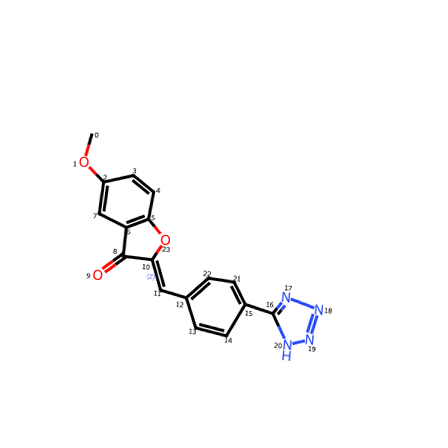 COc1ccc2c(c1)C(=O)/C(=C/c1ccc(-c3nnn[nH]3)cc1)O2